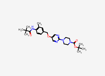 Cc1cc(COc2cnc(N3CCN(C(=O)OC(C)(C)C)CC3)nc2)ccc1NC(=O)C(C)(C)C